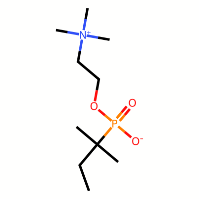 CCC(C)(C)P(=O)([O-])OCC[N+](C)(C)C